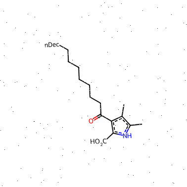 CCCCCCCCCCCCCCCCCC(=O)c1c(C(=O)O)[nH]c(C)c1C